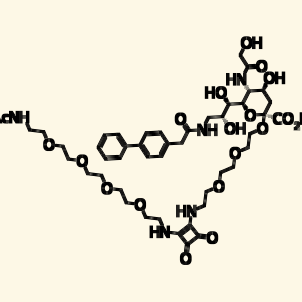 CC(=O)NCCOCCOCCOCCOCCNc1c(NCCOCCOCCO[C@]2(C(=O)O)C[C@H](O)[C@@H](NC(=O)CO)[C@H]([C@H](O)[C@H](O)CNC(=O)Cc3ccc(-c4ccccc4)cc3)O2)c(=O)c1=O